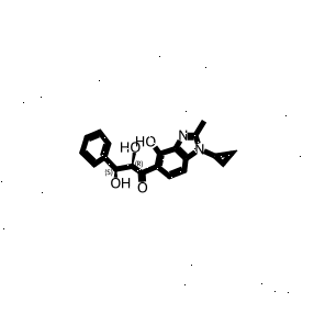 Cc1nc2c(O)c(C(=O)[C@H](O)[C@@H](O)c3ccccc3)ccc2n1C1CC1